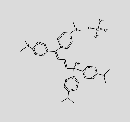 CN(C)c1ccc(C(=CC=CC(O)(c2ccc(N(C)C)cc2)c2ccc(N(C)C)cc2)c2ccc(N(C)C)cc2)cc1.[O-][Cl+3]([O-])([O-])O